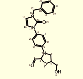 O=CC1OC(CO)CN1c1ccc(-n2ccn(Cc3ccccc3)c2=O)cc1